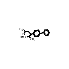 CC(C(=O)O)=C(CC(C)O)c1ccc(-c2ccccc2)cc1